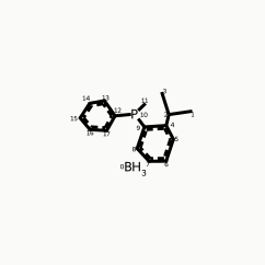 B.CC(C)c1ccccc1P(C)c1ccccc1